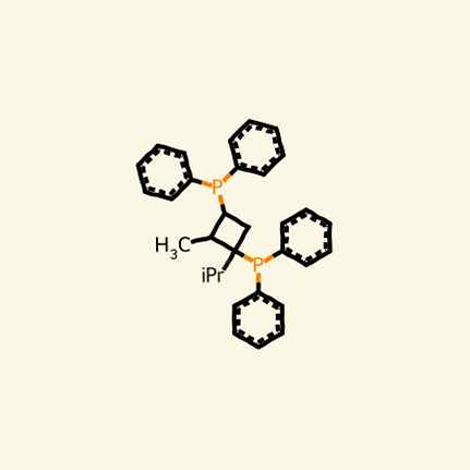 CC(C)C1(P(c2ccccc2)c2ccccc2)CC(P(c2ccccc2)c2ccccc2)C1C